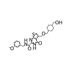 COc1cccc(CNC(=O)c2nc3scc(COCC4CCC(CO)CC4)c3c(=O)[nH]2)c1